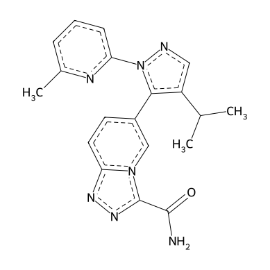 Cc1cccc(-n2ncc(C(C)C)c2-c2ccc3nnc(C(N)=O)n3c2)n1